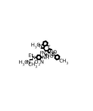 CCN(CCN(C)C)c1cc(F)c(Nc2nc(-c3cn(C)c4cccc(F)c34)c3ccn(S(=O)(=O)c4ccc(C)cc4)c3n2)cc1[N+](=O)[O-]